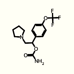 NC(=O)OC(CN1CCCC1)c1ccc(OC(F)(F)F)cc1